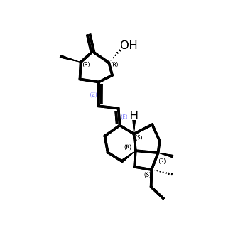 C=C1[C@H](C)C/C(=C/C=C2\CCC[C@]34C[C@](C)(CC)[C@@]3(C)CC[C@@H]24)C[C@H]1O